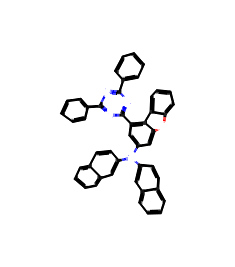 c1ccc(-c2nc(-c3ccccc3)nc(-c3cc(N(c4ccc5ccccc5c4)c4ccc5ccccc5c4)cc4oc5ccccc5c34)n2)cc1